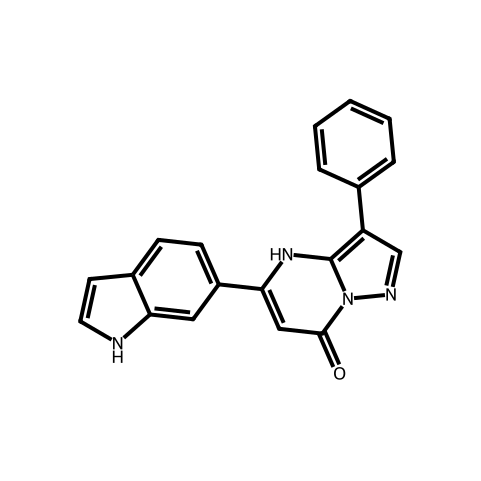 O=c1cc(-c2ccc3cc[nH]c3c2)[nH]c2c(-c3ccccc3)cnn12